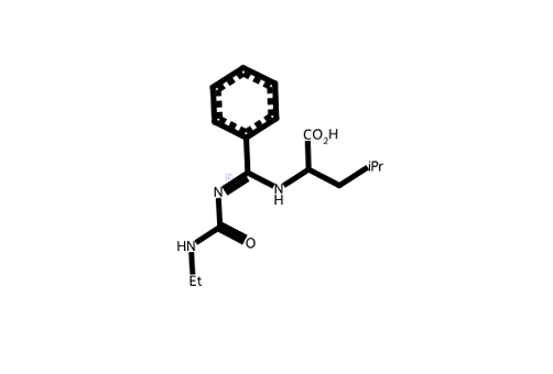 CCNC(=O)/N=C(\NC(CC(C)C)C(=O)O)c1ccccc1